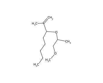 C=C(C)C(CCCCC)OC(C)COC